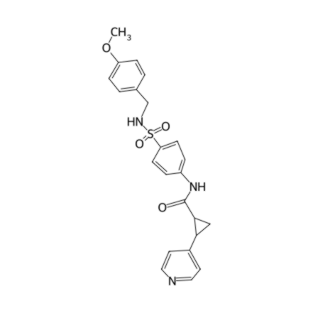 COc1ccc(CNS(=O)(=O)c2ccc(NC(=O)C3CC3c3ccncc3)cc2)cc1